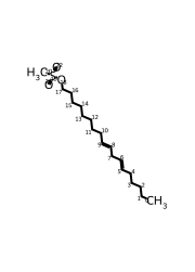 CCCCC/C=C/C/C=C/CCCCCCCCOS(C)(=O)=O